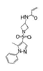 C=CC(=O)NC1CN(S(=O)(=O)c2cnn(-c3ccccc3)c2C)C1